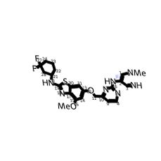 CN/C=C(\C=N)Nc1nccc(COc2cc(OC)c3nc(NC4CCCC(F)(F)C4)sc3c2)n1